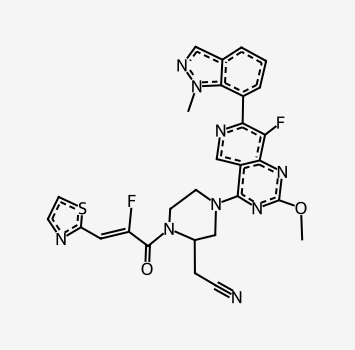 COc1nc(N2CCN(C(=O)/C(F)=C/c3nccs3)C(CC#N)C2)c2cnc(-c3cccc4cnn(C)c34)c(F)c2n1